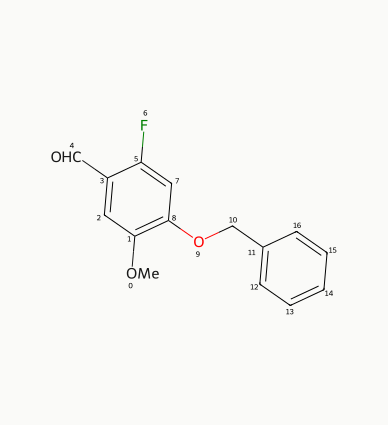 COc1cc(C=O)c(F)cc1OCc1ccccc1